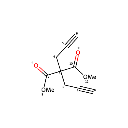 C#CCC(CC#C)(C(=O)OC)C(=O)OC